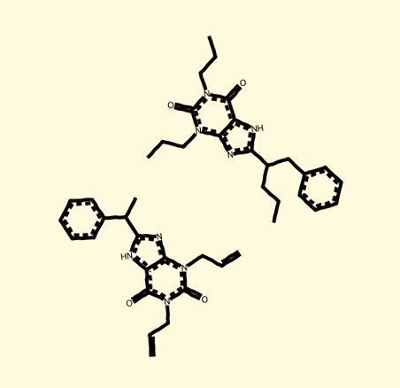 C=CCn1c(=O)c2[nH]c(C(C)c3ccccc3)nc2n(CC=C)c1=O.CCCC(Cc1ccccc1)c1nc2c([nH]1)c(=O)n(CCC)c(=O)n2CCC